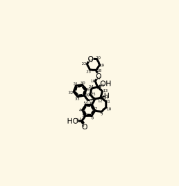 O=C(O)c1ccc2c(c1)CCC[C@H]1C[C@@](O)(COC3CCOCC3)CC[C@@]21Cc1ccccc1